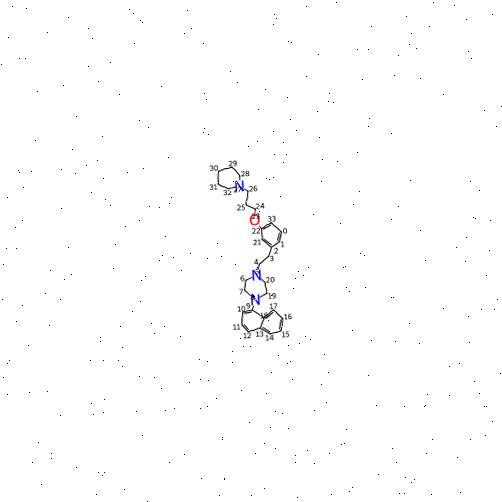 c1cc(CCN2CCN(c3cccc4ccccc34)CC2)cc(OCCCN2CCCCC2)c1